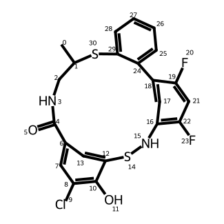 CC1CNC(=O)c2cc(Cl)c(O)c(c2)SNc2cc(c(F)cc2F)-c2ccccc2S1